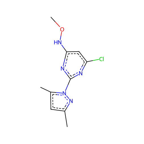 CONc1cc(Cl)nc(-n2nc(C)cc2C)n1